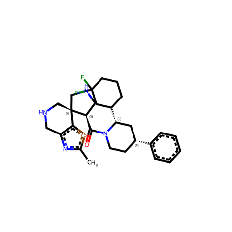 Cc1nc2c(s1)[C@]1(CNC2)CNC[C@H]1C(=O)N1CC[C@@H](c2ccccc2)C[C@H]1C1CCCC(F)(F)C1